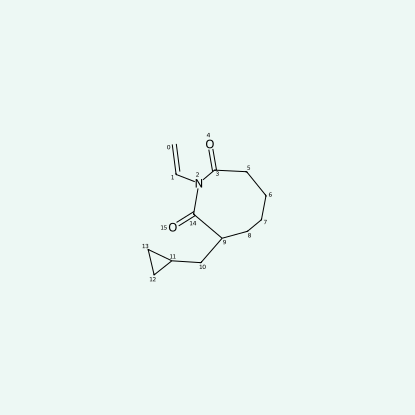 C=CN1C(=O)CCCCC(CC2CC2)C1=O